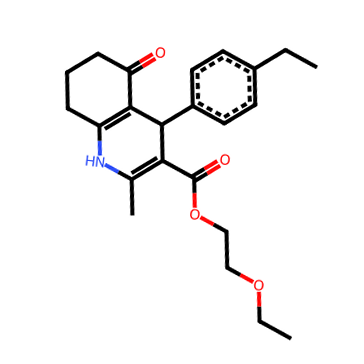 CCOCCOC(=O)C1=C(C)NC2=C(C(=O)CCC2)C1c1ccc(CC)cc1